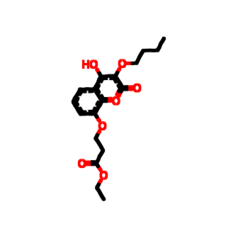 CCCCOc1c(O)c2cccc(OCCC(=O)OCC)c2oc1=O